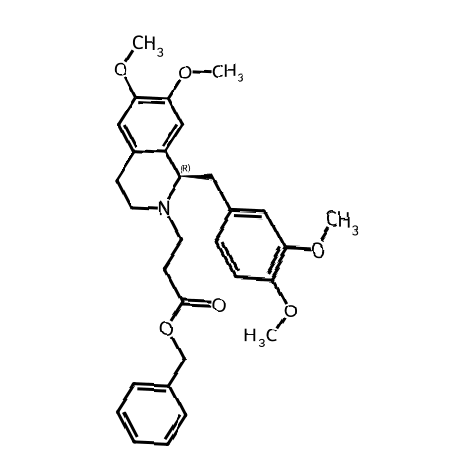 COc1ccc(C[C@@H]2c3cc(OC)c(OC)cc3CCN2CCC(=O)OCc2ccccc2)cc1OC